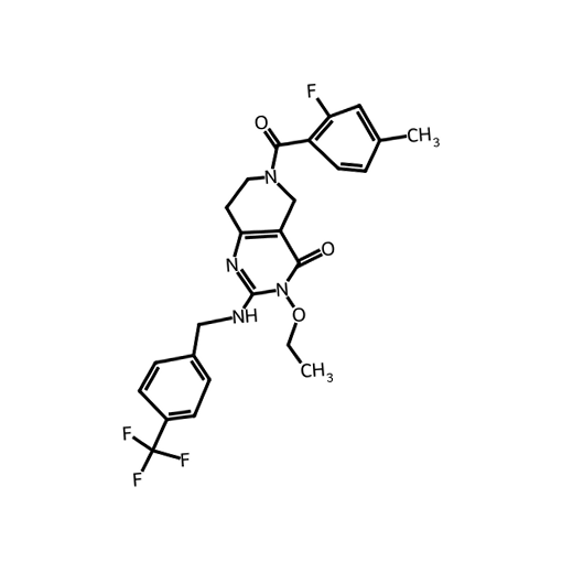 CCOn1c(NCc2ccc(C(F)(F)F)cc2)nc2c(c1=O)CN(C(=O)c1ccc(C)cc1F)CC2